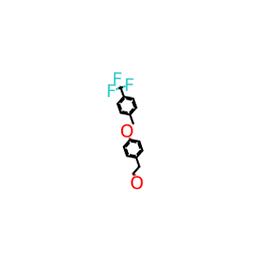 O=CCc1ccc(OCc2ccc(C(F)(F)F)cc2)cc1